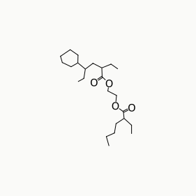 CCCCC(CC)C(=O)OCCOC(=O)C(CC)CC(CC)C1CCCCC1